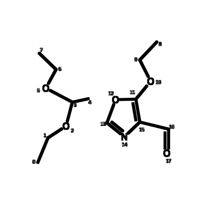 CCOC(C)OCC.CCOc1ocnc1C=O